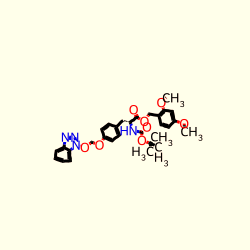 COc1ccc(COC(=O)[C@@H](Cc2ccc(OCOn3nnc4ccccc43)cc2)NC(=O)OC(C)(C)C)c(OC)c1